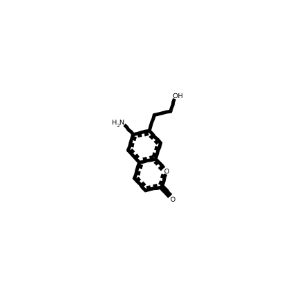 Nc1cc2ccc(=O)oc2cc1CCO